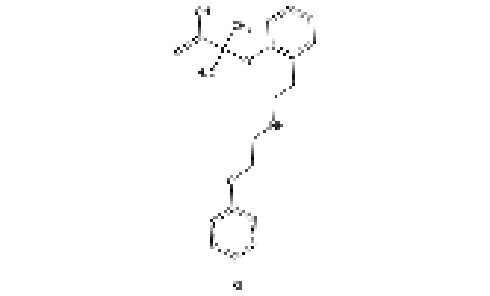 CC(C)(Oc1ccccc1CCNCCOc1ccc(Cl)cc1)C(=O)O